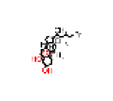 CC(C)CCC[C@@H](C)[C@H]1CC[C@H]2[C@]3(O)C=C[C@]4(O)C[C@@H](O)CC[C@]4(C)[C@H]3CC[C@]12C